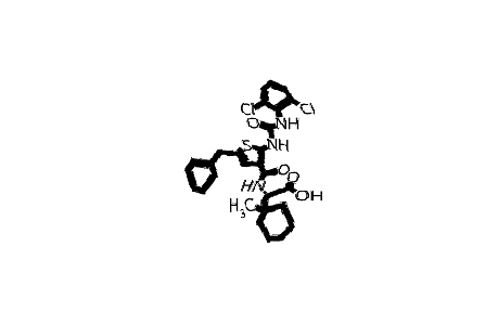 CC1([C@H](NC(=O)c2cc(Cc3ccccc3)sc2NC(=O)Nc2c(Cl)cccc2Cl)C(=O)O)CCCCC1